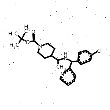 CC(NC(c1ccc(Cl)cc1)c1ccccn1)C1CCN(C(=O)OC(C)(C)C)CC1